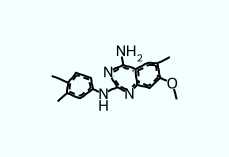 COc1cc2nc(Nc3ccc(C)c(C)c3)nc(N)c2cc1C